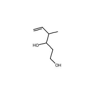 C=CC(C)C(O)CCO